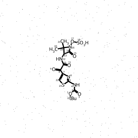 CC(C)(C)OC(=O)Nc1nc(C(=O)C(=O)NC2C(=O)N(OS(=O)(=O)O)C2(C)C)cs1